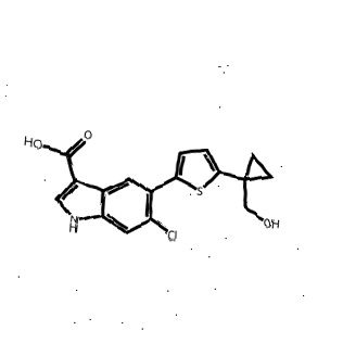 O=C(O)c1c[nH]c2cc(Cl)c(-c3ccc(C4(CO)CC4)s3)cc12